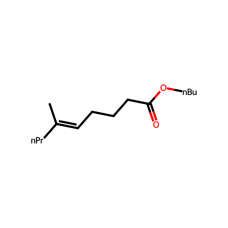 CCCCOC(=O)CCC/C=C(\C)CCC